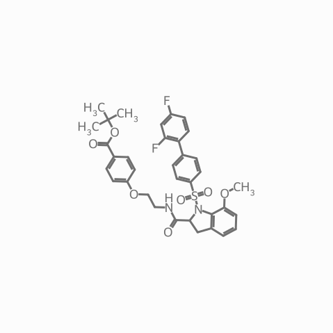 COc1cccc2c1N(S(=O)(=O)c1ccc(-c3ccc(F)cc3F)cc1)C(C(=O)NCCOc1ccc(C(=O)OC(C)(C)C)cc1)C2